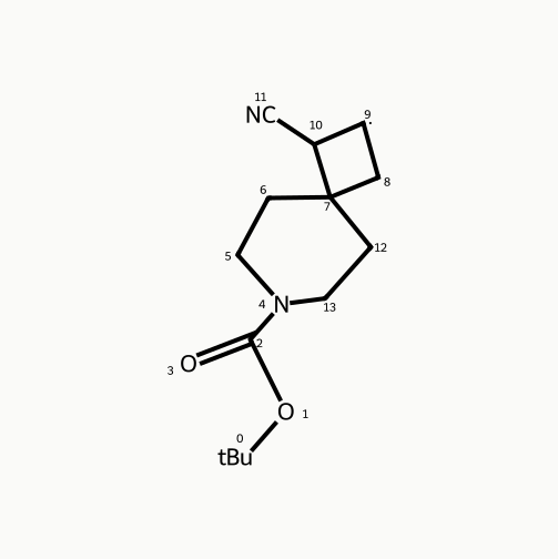 CC(C)(C)OC(=O)N1CCC2(C[CH]C2C#N)CC1